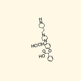 Cl.Cl.O=C(O)C(Oc1ccc(N2CCN(CCC3CCNCC3)CC2)cc1)c1ccccc1